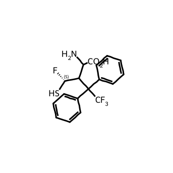 NC(C(=O)O)C([C@@H](F)S)C(c1ccccc1)(c1ccccc1)C(F)(F)F